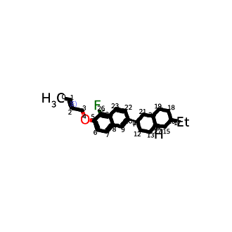 C/C=C/COc1ccc2cc([C@@H]3CC[C@@H]4CC(CC)CCC4C3)ccc2c1F